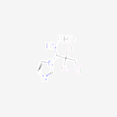 O=CNC(n1ccnc1)C(Cl)(Cl)CCl